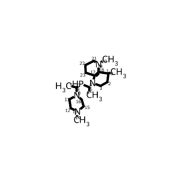 CC1CCN(C(C)PC(C)N2CCN(C)CC2)C2=C1N(C)CCC2